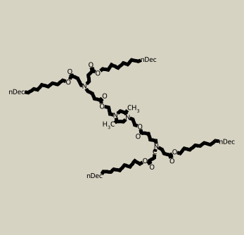 CCCCCCCCCCCCCCCCCCOC(=O)CCN(CCCC(=O)OCCN1CC(C)N(CCOC(=O)CCCN(CCC(=O)OCCCCCCCCCCCCCCCCCC)CCC(=O)OCCCCCCCCCCCCCCCCCC)CC1C)CCC(=O)OCCCCCCCCCCCCCCCCCC